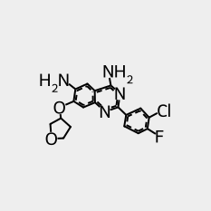 Nc1cc2c(N)nc(-c3ccc(F)c(Cl)c3)nc2cc1OC1CCOC1